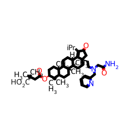 CC(C)C1=C2[C@H]3CCC4[C@@]5(C)CC[C@H](OC(=O)CC(C)(C)C(=O)O)C(C)(C)C5CC[C@@]4(C)[C@]3(C)CC[C@@]2(CCN(CC(N)=O)Cc2ccccn2)CC1=O